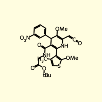 COC1=C(C=C=O)NC(c2c(C)csc2OC)=C(C(=O)NCC(=O)OC(C)(C)C)C1c1cccc([N+](=O)[O-])c1